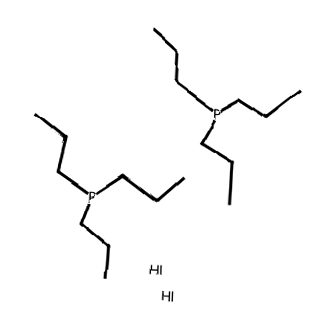 CCCP(CCC)CCC.CCCP(CCC)CCC.I.I